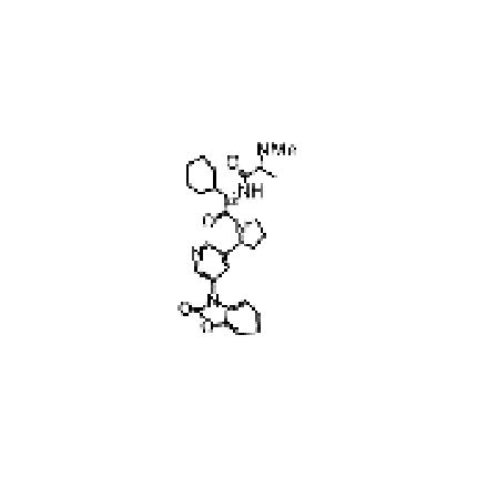 CNC(C)C(=O)N[C@H](C(=O)N1CCCC1c1cncc(-n2c(=O)oc3ccccc32)c1)C1CCCCC1